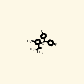 CC(C)C(=O)c1cc(N)ccc1OC(c1ccc(F)cc1)c1ccc(F)cc1